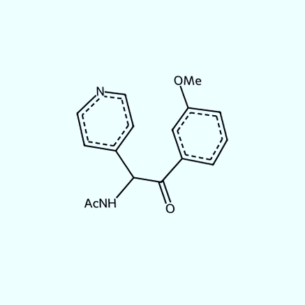 COc1cccc(C(=O)C(NC(C)=O)c2ccncc2)c1